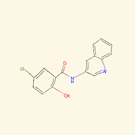 O=C(Nc1cnc2ccccc2c1)c1cc(Cl)ccc1O